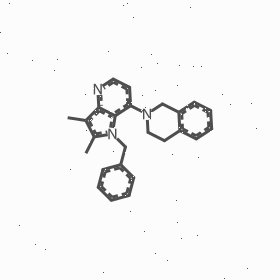 Cc1c(C)n(Cc2ccccc2)c2c(N3CCc4ccccc4C3)ccnc12